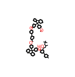 COc1ccc(C2(c3ccc(Oc4ccc(-c5ccc(COc6ccc(C7(c8ccc(Oc9ccc(-c%10ccc(C)cc%10)cc9C(O)CC(C)CC(C)(C)C)cc8)c8ccccc8-c8ccccc87)cc6)cc5)cc4)cc3)c3ccccc3-c3ccccc32)cc1